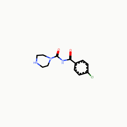 O=C(NC(=O)N1CCNCC1)c1ccc(Cl)cc1